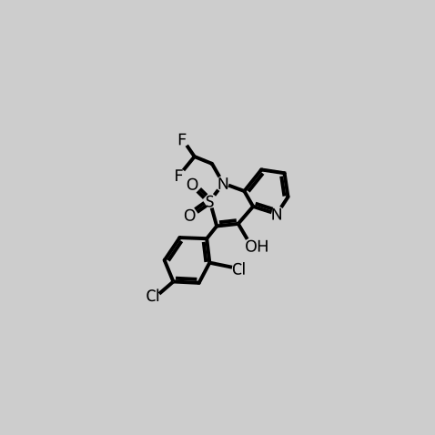 O=S1(=O)C(c2ccc(Cl)cc2Cl)=C(O)c2ncccc2N1CC(F)F